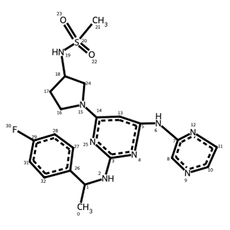 CC(Nc1nc(Nc2cnccn2)cc(N2CCC(NS(C)(=O)=O)C2)n1)c1ccc(F)cc1